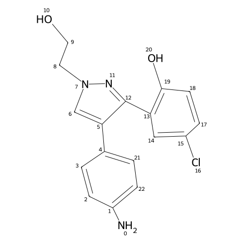 Nc1ccc(-c2cn(CCO)nc2-c2cc(Cl)ccc2O)cc1